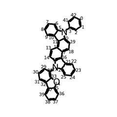 c1ccc(-n2c3ccccc3c3c4ccc5c(c4ccc32)c2ccccc2n5-c2cccc3c2oc2ccccc23)cc1